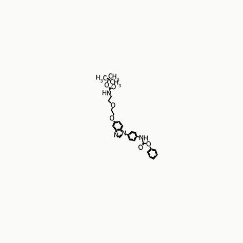 CC(C)(C)OC(=O)NCCOCCOc1ccc2c(c1)ncn2-c1ccc(NC(=O)Oc2ccccc2)cc1